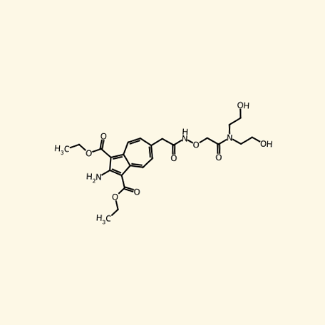 CCOC(=O)c1c2ccc(CC(=O)NOCC(=O)N(CCO)CCO)ccc-2c(C(=O)OCC)c1N